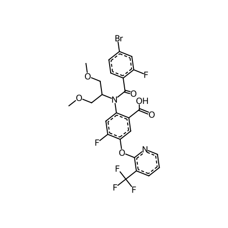 COCC(COC)N(C(=O)c1ccc(Br)cc1F)c1cc(F)c(Oc2ncccc2C(F)(F)F)cc1C(=O)O